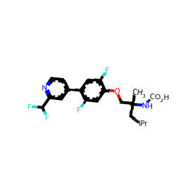 CC(C)CC(C)(COc1cc(F)c(-c2ccnc(C(F)F)c2)cc1F)NC(=O)O